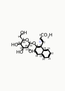 O=C(O)/C=C/c1c(O[C@@H]2O[C@H](CO)[C@H](O)[C@H](O)[C@H]2O)ccc2ccccc12